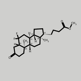 COC(=O)CCC[C@H]1CC[C@H]2[C@@H]3CC(F)(F)[C@H]4CC(=O)CC[C@]4(C)[C@H]3CC[C@]12C